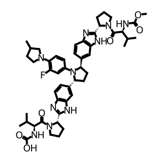 COC(=O)N[C@H](C(=O)N1CCC[C@H]1c1nc2ccc([C@H]3CC[C@H](c4ccc5nc([C@@H]6CCCN6C(=O)[C@@H](NC(=O)O)C(C)C)[nH]c5c4)N3c3ccc(N4CCC(C)C4)c(F)c3)cc2[nH]1)C(C)C